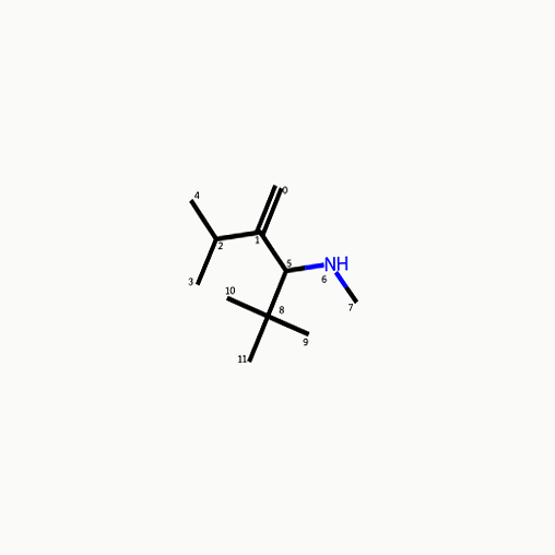 C=C(C(C)C)C(NC)C(C)(C)C